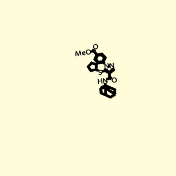 COC(=O)c1ccc(-n2ncc(C(=O)NC3C4CC5CC(C4)CC3C5)c2SC2CCCC2)cc1